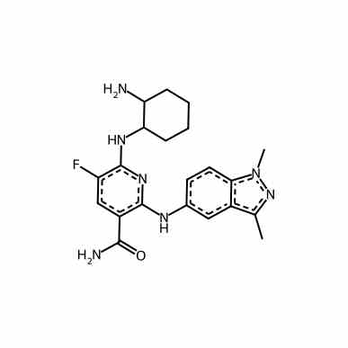 Cc1nn(C)c2ccc(Nc3nc(NC4CCCCC4N)c(F)cc3C(N)=O)cc12